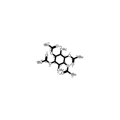 CC(=O)OC1C(OC(=O)C(C)(C)C)C(OC(=O)C(C)(C)C)C(OC(C)=O)C(OC(=O)C(C)(C)C)C1OC(=O)C(C)(C)C